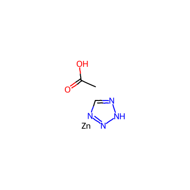 CC(=O)O.[Zn].c1nn[nH]n1